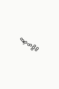 c1ccc2cc3c(cc2c1)sc1cc(-c2ccc4cc(-c5c6ccccc6c(-c6cccc7ccccc67)c6ccccc56)ccc4c2)ccc13